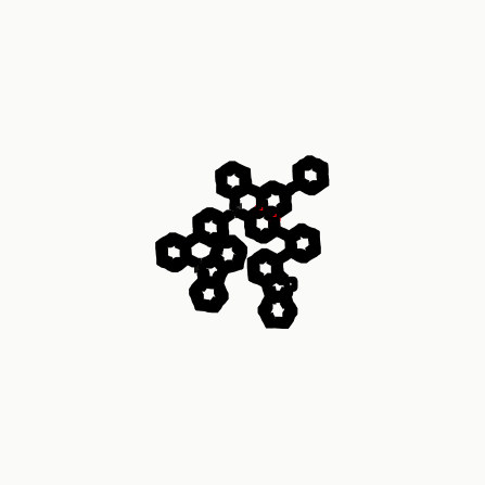 c1ccc(-c2cccc(-c3ccccc3N(c3ccc(-c4ccccc4-c4cccc5c4oc4ccccc45)cc3)c3ccc(-c4ccccc4-n4c5ccccc5c5ccccc54)cc3)c2)cc1